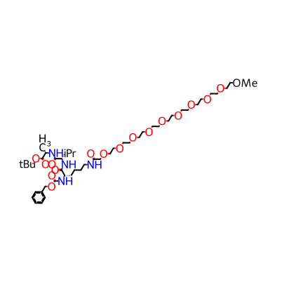 COCCOCCOCCOCCOCCOCCOCCOCCOCCOCC(=O)NCCCC[C@H](NC(=O)OCc1ccccc1)C(=O)N[C@H](C(=O)N[C@@H](C)C(=O)OC(C)(C)C)C(C)C